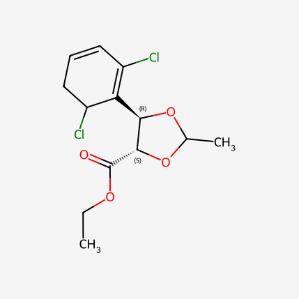 CCOC(=O)[C@H]1OC(C)O[C@@H]1C1=C(Cl)C=CCC1Cl